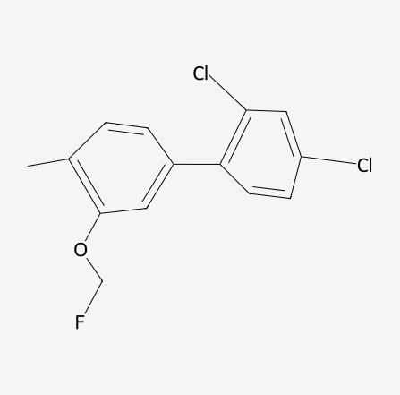 Cc1ccc(-c2ccc(Cl)cc2Cl)cc1OCF